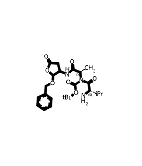 CC(C)[C@H](N)C(=O)N(C(=O)OC(C)(C)C)[C@@H](C)C(=O)NC1CC(=O)OC1OCc1ccccc1